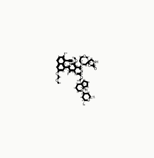 C#Cc1c(F)ccc2cc(OCOC)cc(-c3nc(OC)c4c(N5CCOC[C@@]6(CNC(=O)O6)C5)nc(OC[C@]56CCC[C@H]5N(C5C[C@@H](C)O[C@@H](C)C5)CCC6)nc4c3F)c12